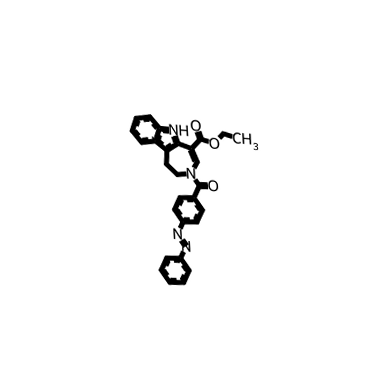 CCOC(=O)C1=CN(C(=O)c2ccc(/N=N/c3ccccc3)cc2)CCc2c1[nH]c1ccccc21